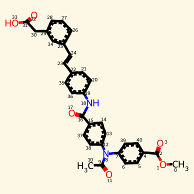 COC(=O)c1ccc(N(C(C)=O)c2ccc(C(=O)Nc3ccc(C=Cc4cccc(CC(=O)O)c4)cc3)cc2)cc1